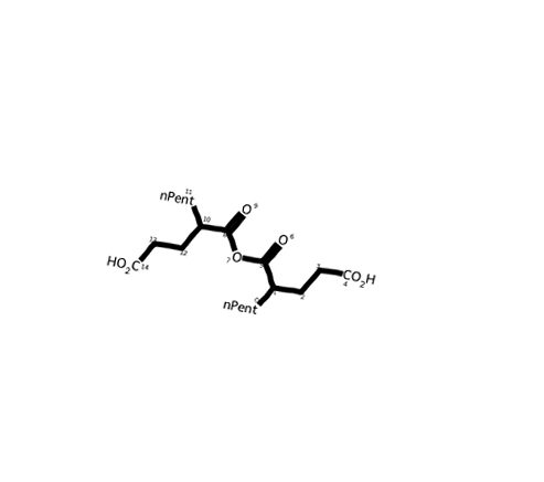 CCCCCC(CCC(=O)O)C(=O)OC(=O)C(CCCCC)CCC(=O)O